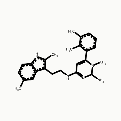 Cc1ccc2[nH]c(C)c(CCNC3=NC(N)N(C)C(c4cccc(C)c4C)=C3)c2c1